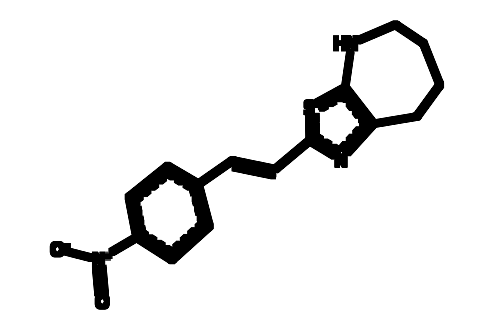 O=[N+]([O-])c1ccc(C=Cc2nc3c(s2)NCCCC3)cc1